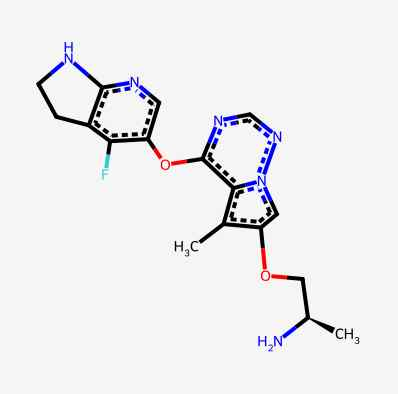 Cc1c(OC[C@@H](C)N)cn2ncnc(Oc3cnc4c(c3F)CCN4)c12